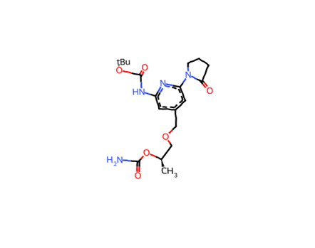 C[C@H](COCc1cc(NC(=O)OC(C)(C)C)nc(N2CCCC2=O)c1)OC(N)=O